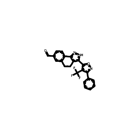 O=Cc1ccc2c(c1)CCc1c-2n[nH]c1-c1onc(-c2ccccc2)c1C(F)(F)F